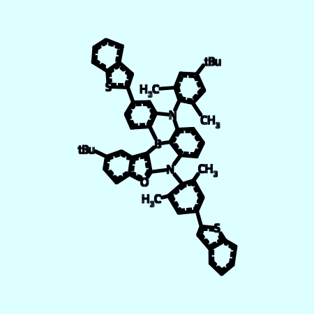 Cc1cc(C(C)(C)C)cc(C)c1N1c2cc(-c3cc4ccccc4s3)ccc2B2c3c1cccc3N(c1c(C)cc(-c3cc4ccccc4s3)cc1C)c1oc3ccc(C(C)(C)C)cc3c12